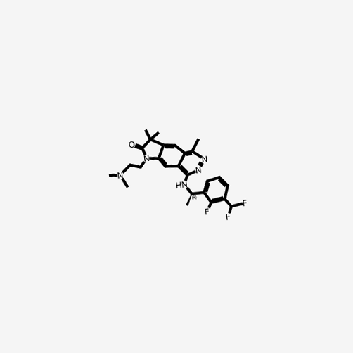 Cc1nnc(N[C@H](C)c2cccc(C(F)F)c2F)c2cc3c(cc12)C(C)(C)C(=O)N3CCN(C)C